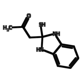 CC(=O)CC1(S)Nc2ccccc2N1